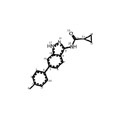 Cc1ccc(-c2ccc3c(NC(=O)C4CC4)n[nH]c3c2)cc1